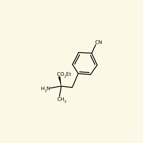 CCOC(=O)[C@@](C)(N)Cc1ccc(C#N)cc1